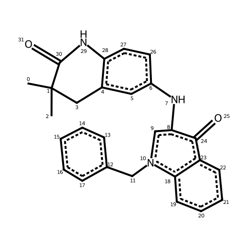 CC1(C)Cc2cc(Nc3cn(Cc4ccccc4)c4ccccc4c3=O)ccc2NC1=O